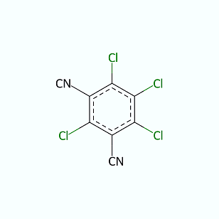 [C-]#[N+]c1c(Cl)c(Cl)c(Cl)c(C#N)c1Cl